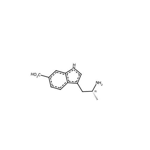 C[C@@H](N)Cc1c[nH]c2cc(C(=O)O)ccc12